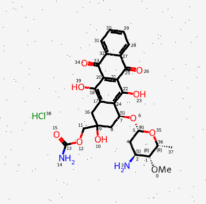 CO[C@@H]1[C@@H](N)C[C@H](O[C@H]2CC(O)(COC(N)=O)Cc3c(O)c4c(c(O)c32)C(=O)c2ccccc2C4=O)O[C@@H]1C.Cl